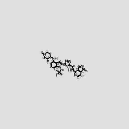 CN1CC[C@@H](Nc2cccc3c2cc(-c2noc(CNc4nccc5c4cnn5C)n2)n3CC(F)(F)F)[C@@H](F)C1